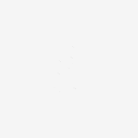 N#Cc1ccccc1CN1C(=O)N2CN=CC=C2N=C1N1CCC[C@@H](N)C1